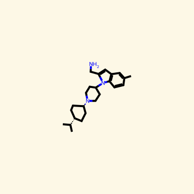 Cc1ccc2c(c1)cc(CN)n2C1CCN([C@H]2CC[C@@H](C(C)C)CC2)CC1